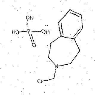 ClCN1CCc2ccccc2CC1.O=P(O)(O)O